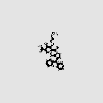 CCCCOc1c2n(cc(C(=O)O)c1=O)CC1N(CCN1C(c1ccccc1)c1ccccc1)C2=O